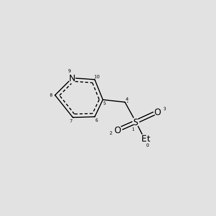 CCS(=O)(=O)[CH]c1cccnc1